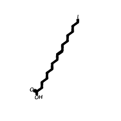 O=C(O)CCCCCCCC=CCCCCCCI